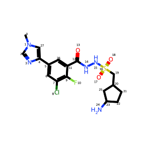 Cn1cnc(-c2cc(Cl)c(F)c(C(=O)NNS(=O)(=O)CC3CCC(N)C3)c2)c1